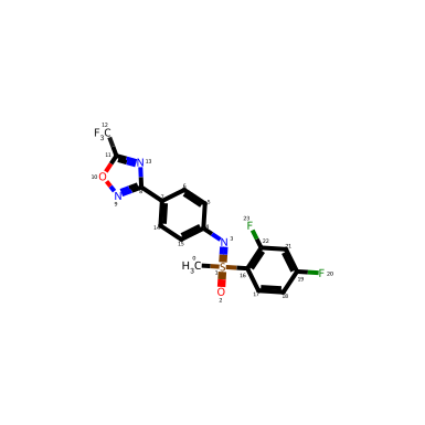 CS(=O)(=Nc1ccc(-c2noc(C(F)(F)F)n2)cc1)c1ccc(F)cc1F